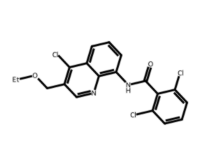 CCOCc1cnc2c(NC(=O)c3c(Cl)cccc3Cl)cccc2c1Cl